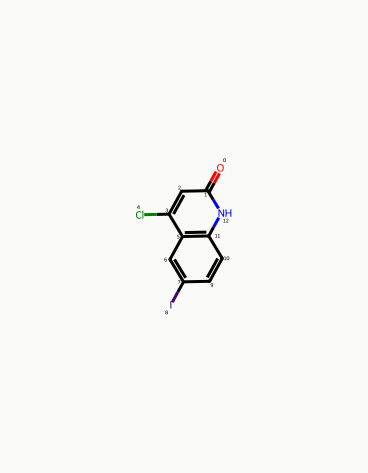 O=c1cc(Cl)c2cc(I)ccc2[nH]1